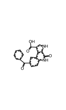 O=C(c1ccccc1)c1ccc2[nH]c(=O)c3[nH]cc(C(=O)O)c3c2c1